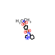 CN(C)S(=O)(=O)c1ccc(S(=O)(=O)N2CC3(CCCCC3)n3nccc32)cc1